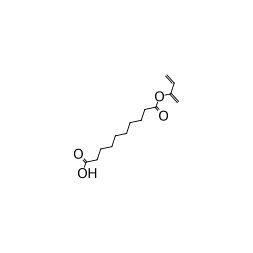 C=CC(=C)OC(=O)CCCCCCCCC(=O)O